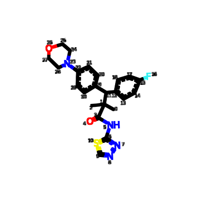 CC(C)(C(=O)Nc1nncs1)C(c1ccc(F)cc1)c1ccc(N2CCOCC2)cc1